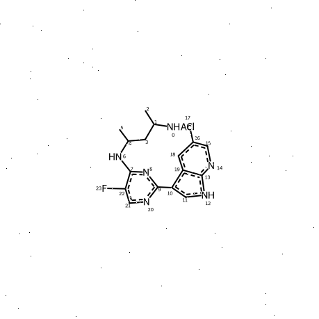 CC(=O)NC(C)CC(C)Nc1nc(-c2c[nH]c3ncc(Cl)cc23)ncc1F